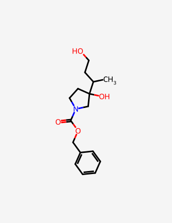 CC(CCO)C1(O)CCN(C(=O)OCc2ccccc2)C1